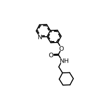 O=C(NCC1CCCCC1)Oc1ccc2cccnc2c1